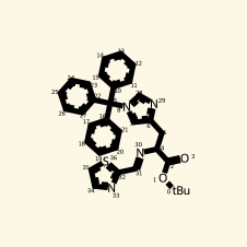 CC(C)(C)OC(=O)C(Cc1cn(C(c2ccccc2)(c2ccccc2)c2ccccc2)cn1)/N=C/c1nccs1